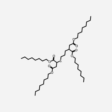 CCCCCCCCOC(=O)CC(CCCSC(CC(=O)OCCCCCCCC)C(=O)OCCCCCCCC)C(=O)OCCCCCCCC